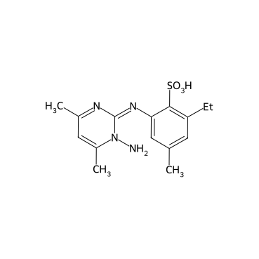 CCc1cc(C)cc(/N=c2/nc(C)cc(C)n2N)c1S(=O)(=O)O